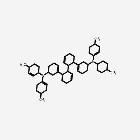 CC1C=CC(N(C2=CCC(C)CC2)C2CCC=C(C3CCC=CC3C3C=CCCC3C3=CCCC(N(C4=CCC(C)CC4)C4CCC(C)CC4)C3)C2)CC1